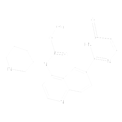 CC(C)(C)OC(=O)N(c1ccnc2ccc(-c3nccc(=O)[nH]3)cc12)[C@H]1CCCNC1